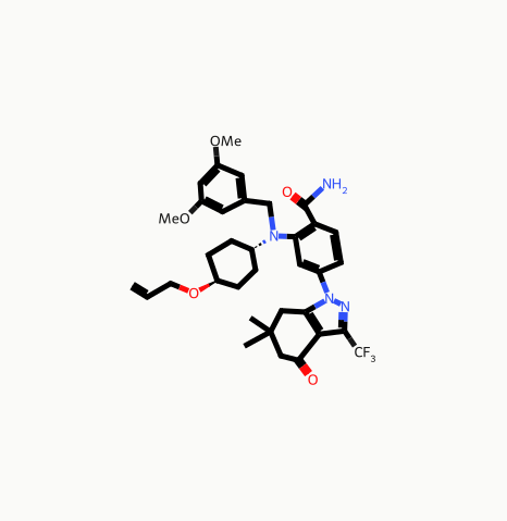 C=CCO[C@H]1CC[C@H](N(Cc2cc(OC)cc(OC)c2)c2cc(-n3nc(C(F)(F)F)c4c3CC(C)(C)CC4=O)ccc2C(N)=O)CC1